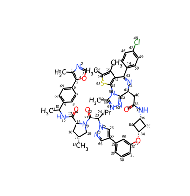 Cc1ncoc1-c1ccc(C(C)NC(=O)[C@@H]2C[C@@H](C)CN2C(=O)[C@@H](C(C)C)n2cc(-c3cccc(O[C@H]4C[C@@H](NC(=O)C[C@@H]5N=C(c6ccc(Cl)cc6)c6c(sc(C)c6C)-n6c(C)nnc65)C4)c3)cn2)cc1